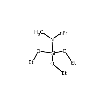 CCCN(C)[Si](OCC)(OCC)OCC